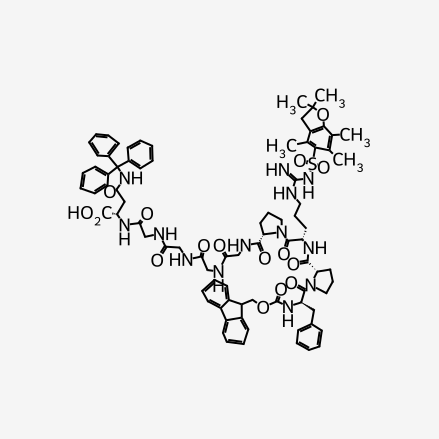 Cc1c(C)c(S(=O)(=O)NC(=N)NCCC[C@H](NC(=O)[C@@H]2CCCN2C(=O)[C@@H](Cc2ccccc2)NC(=O)OCC2c3ccccc3-c3ccccc32)C(=O)N2CCC[C@H]2C(=O)NCC(=O)NCC(=O)NCC(=O)NCC(=O)N[C@@H](CC(=O)NC(c2ccccc2)(c2ccccc2)c2ccccc2)C(=O)O)c(C)c2c1OC(C)(C)C2